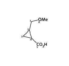 COCC1CC1C(=O)O